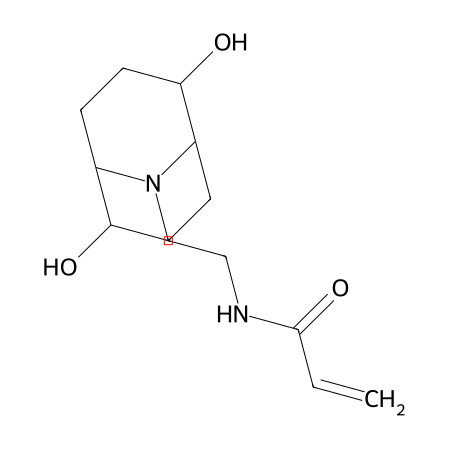 C=CC(=O)NCCN1C2CCC(O)C1CCC2O